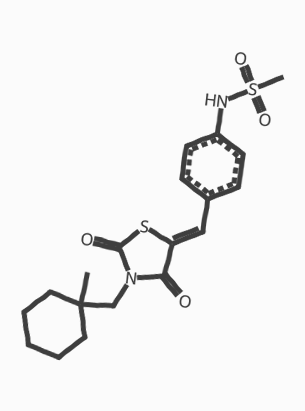 CC1(CN2C(=O)SC(=Cc3ccc(NS(C)(=O)=O)cc3)C2=O)CCCCC1